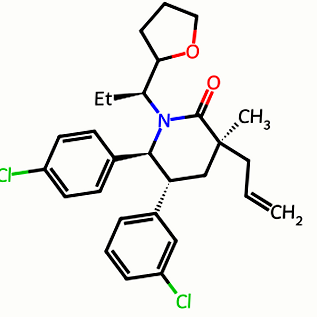 C=CC[C@@]1(C)C[C@H](c2cccc(Cl)c2)[C@@H](c2ccc(Cl)cc2)N([C@@H](CC)C2CCCO2)C1=O